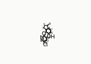 CC1CCc2c(Oc3nnc(Cl)cc3O)cccc21